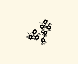 C=Cc1cc(O)cc2nc(-c3ccc(O)c(F)c3)oc12.Cc1ccccc1P(c1ccccc1C)c1ccccc1C.Cc1ccccc1P(c1ccccc1C)c1ccccc1C.[Cl][Pd][Cl]